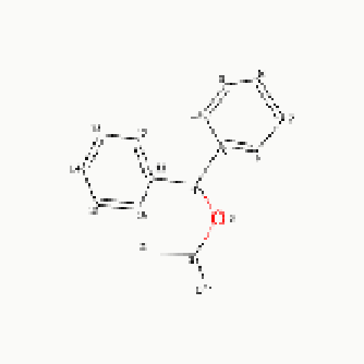 [CH2]C(C)OC(c1ccccc1)c1ccccc1